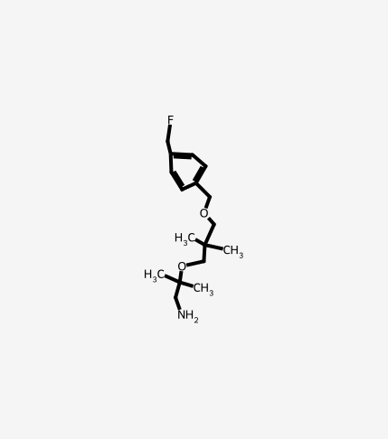 CC(C)(COCc1ccc(CF)cc1)COC(C)(C)CN